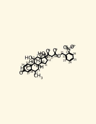 CC1C[C@@H]2[C@H](C(O)C[C@@]3(C)[C@H]2CC[C@]3(O)C(=O)CC(=O)OCc2ccccc2[N+](=O)[O-])[C@@]2(C)C=CC(=O)C=C12